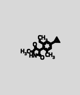 CCc1cc(C2CC2)cc(C)c1C1C(=O)NC(C)C1=O